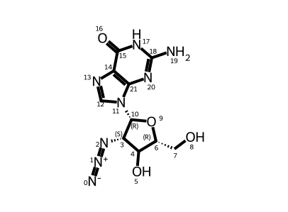 [N-]=[N+]=N[C@H]1C(O)[C@@H](CO)O[C@H]1n1cnc2c(=O)[nH]c(N)nc21